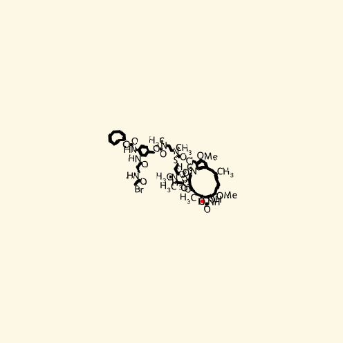 COc1cc2cc(c1Cl)N(C)C(=O)[C@H](OC(=O)[C@H](C)N(C)C(=O)CCSC(=O)N(C)CCN(C)C(=O)OCc1ccc(NC(=O)OC3/C=C/CCCCC3)c(NC(=O)CCNC(=O)CBr)c1)[C@]1(C)OC1[C@H](C)[C@@H]1C[C@@](O)(NC(=O)O1)[C@H](OC)/C=C/C=C(\C)C2